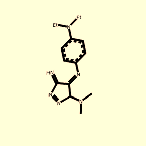 CCN(CC)c1ccc(N=C2C(=N)N=NC2N(C)C)cc1